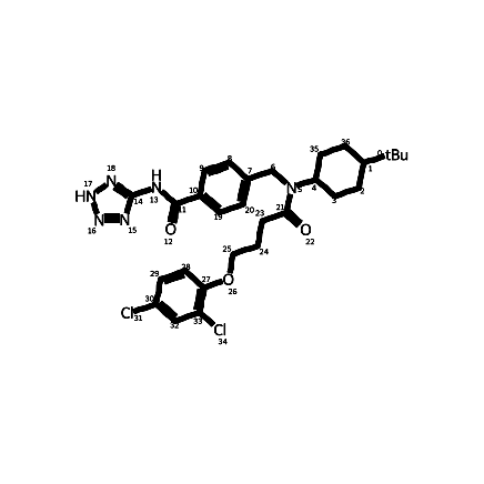 CC(C)(C)C1CCC(N(Cc2ccc(C(=O)Nc3nn[nH]n3)cc2)C(=O)CCCOc2ccc(Cl)cc2Cl)CC1